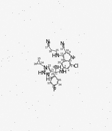 BC(Nc1cc(Cl)c2ncc(C#N)c(NCCC#N)c2c1)(C1=CN(C2CC2)NN1)c1ccc(F)cc1